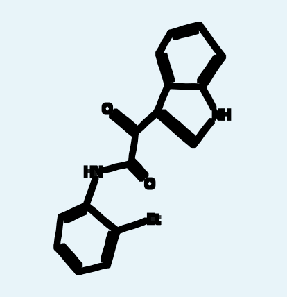 CCc1ccccc1NC(=O)C(=O)c1c[nH]c2ccccc12